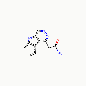 NC(=O)Cc1nncc2[nH]c3ccccc3c12